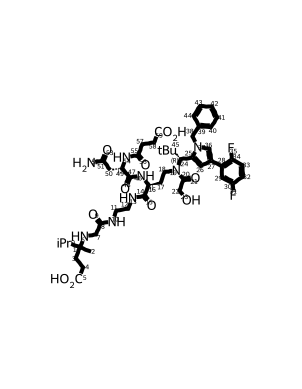 CC(C)C(C)(CCC(=O)O)NCC(=O)NCCNC(=O)[C@H](CCN(C(=O)CO)[C@@H](c1cc(-c2cc(F)ccc2F)cn1Cc1ccccc1)C(C)(C)C)NC(=O)[C@H](CC(N)=O)NC(=O)CCC(=O)O